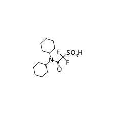 O=C(N(C1CCCCC1)C1CCCCC1)C(F)(F)S(=O)(=O)O